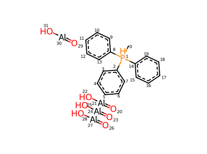 C[PH](c1ccccc1)(c1ccccc1)c1ccccc1.[O]=[Al][OH].[O]=[Al][OH].[O]=[Al][OH].[O]=[Al][OH]